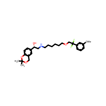 COc1cccc(C(F)(F)COCCCCCCNC[C@@H](O)c2ccc3c(c2)COC(C)(C)O3)c1